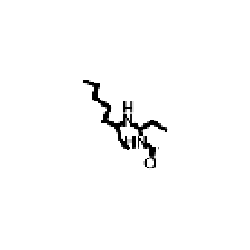 CCCCCC(CC)NC(CC)N[C]=O